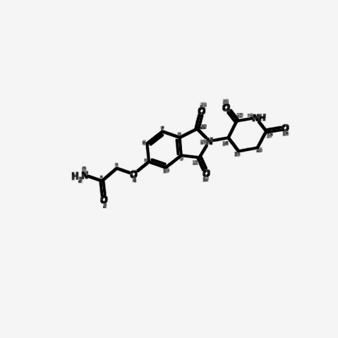 NC(=O)COc1ccc2c(c1)C(=O)N(C1CCC(=O)NC1=O)C2=O